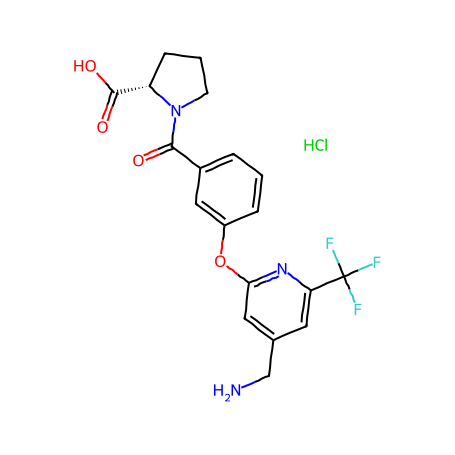 Cl.NCc1cc(Oc2cccc(C(=O)N3CCC[C@H]3C(=O)O)c2)nc(C(F)(F)F)c1